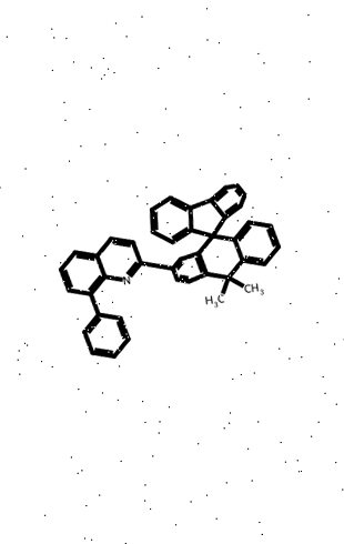 CC1(C)c2ccccc2C2(c3ccccc3-c3ccccc32)c2cc(-c3ccc4cccc(-c5ccccc5)c4n3)ccc21